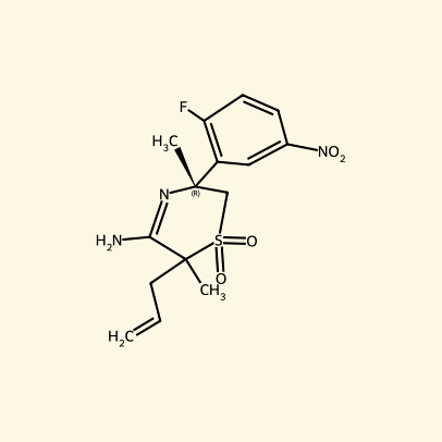 C=CCC1(C)C(N)=N[C@](C)(c2cc([N+](=O)[O-])ccc2F)CS1(=O)=O